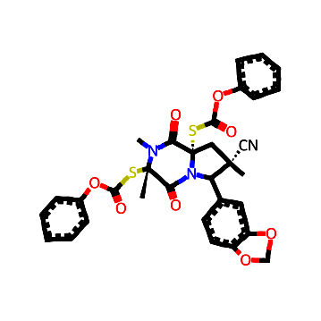 CN1C(=O)[C@@]2(SC(=O)Oc3ccccc3)C[C@](C)(C#N)C(c3ccc4c(c3)OCO4)N2C(=O)[C@]1(C)SC(=O)Oc1ccccc1